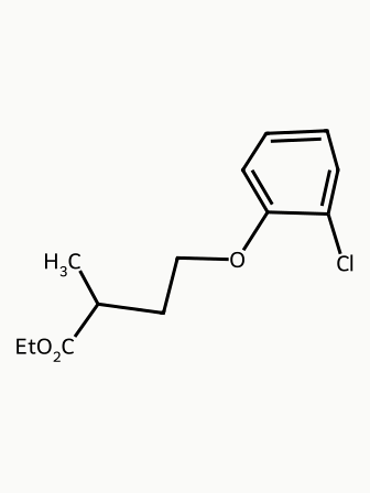 CCOC(=O)C(C)CCOc1ccccc1Cl